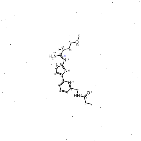 CCC(=O)NCc1cccc(-c2csc(/N=C(\N)NCCOC)n2)n1